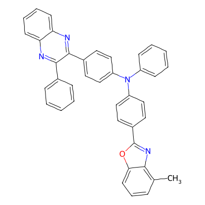 Cc1cccc2oc(-c3ccc(N(c4ccccc4)c4ccc(-c5nc6ccccc6nc5-c5ccccc5)cc4)cc3)nc12